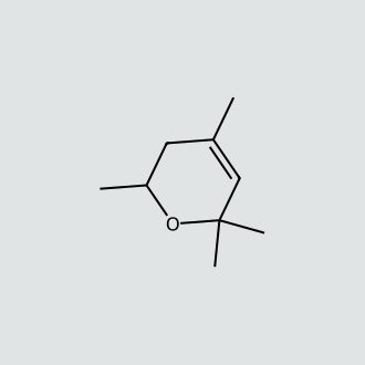 CC1=CC(C)(C)OC(C)C1